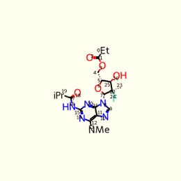 CCC(=O)OC[C@H]1O[C@@H](n2cnc3c(NC)nc(NC(=O)C(C)C)nc32)[C@](C)(F)[C@@H]1O